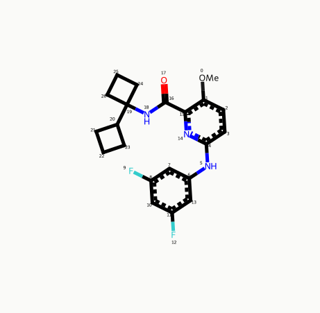 COc1ccc(Nc2cc(F)cc(F)c2)nc1C(=O)NC1(C2CCC2)CCC1